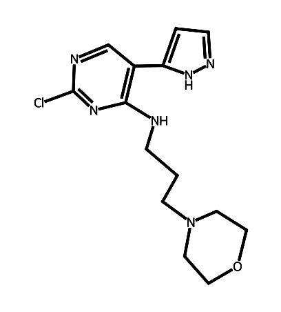 Clc1ncc(-c2ccn[nH]2)c(NCCCN2CCOCC2)n1